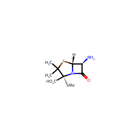 CS[C@@]1(C(=O)O)N2C(=O)[C@H](N)[C@H]2SC1(C)C